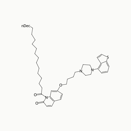 CCCCCCCCCCCCCCCCCCCCCCCC(=O)n1c(=O)ccc2ccc(OCCCCN3CCN(c4cccc5sccc45)CC3)cc21